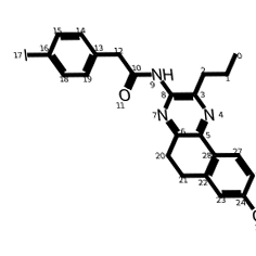 CCCc1nc2c(nc1NC(=O)Cc1ccc(I)cc1)CCc1cc(O)ccc1-2